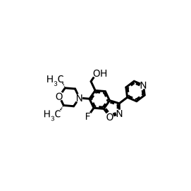 C[C@@H]1CN(c2c(CO)cc3c(-c4ccncc4)noc3c2F)C[C@H](C)O1